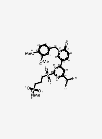 CNS(=O)(=O)CCCS(=O)(=O)c1nc(-c2ccc(=O)n(Cc3ccc(OC)c(OC)c3)c2)cc(C(F)F)n1